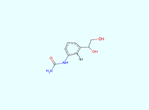 [2H]c1c(NC(N)=O)cccc1C(O)CO